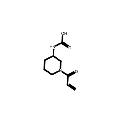 C=CC(=O)N1CCC[C@@H](NC(=O)O)C1